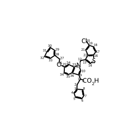 O=C(O)C(Cc1ccccc1)c1cn(Cc2csc3ccc(Cl)cc23)c2cc(OCc3ccccc3)ccc12